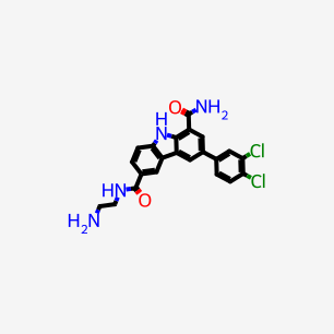 NCCNC(=O)c1ccc2[nH]c3c(C(N)=O)cc(-c4ccc(Cl)c(Cl)c4)cc3c2c1